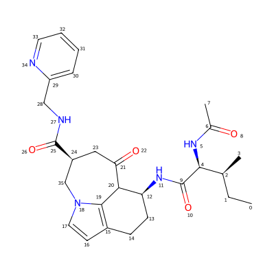 CC[C@H](C)[C@H](NC(C)=O)C(=O)N[C@H]1CCc2ccn3c2C1C(=O)C[C@H](C(=O)NCc1ccccn1)C3